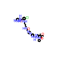 CC(=O)c1c(C)c2cnc(Nc3ccc(N4CCN(CC(=O)NCCCCCNc5cc(Cl)ccc5C(=O)NC(=N)/C=C\C(=N)N(C)C)CC4)cn3)nc2n(C2CCCC2)c1=O